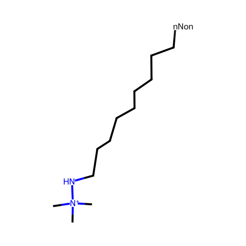 CCCCCCCCCCCCCCCCCCN[N+](C)(C)C